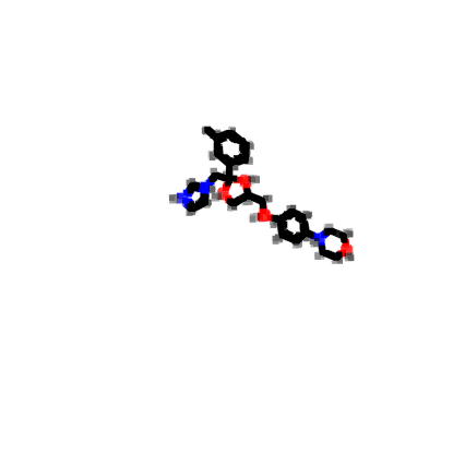 Cc1cccc(C2(Cn3ccnc3)OCC(COc3ccc(N4CCOCC4)cc3)O2)c1